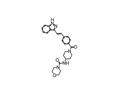 O=C(NC1CCN(C(=O)c2ccc(C=Cc3n[nH]c4ccccc34)cc2)CC1)N1CCOCC1